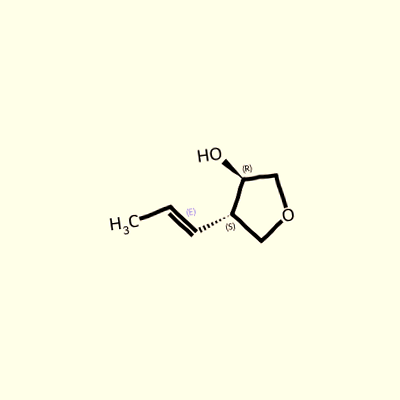 C/C=C/[C@H]1COC[C@@H]1O